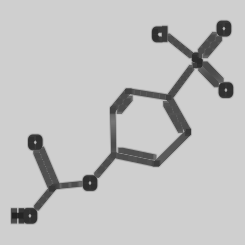 O=C(O)Oc1ccc(S(=O)(=O)Cl)cc1